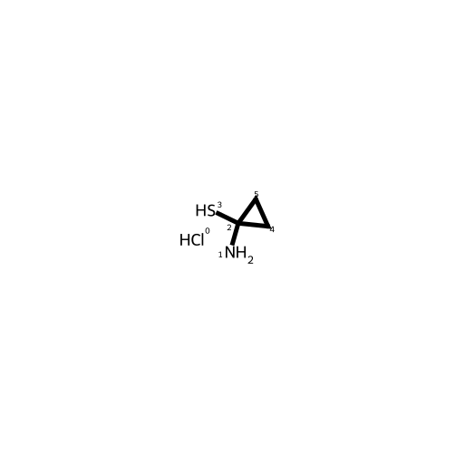 Cl.NC1(S)CC1